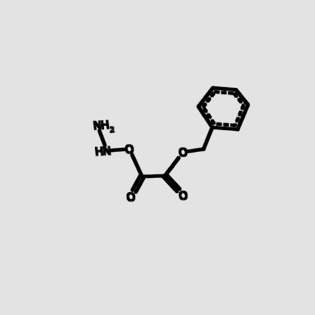 NNOC(=O)C(=O)OCc1ccccc1